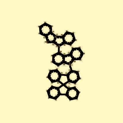 c1ccc2c(c1)-c1ccccc1C21c2ccccc2-c2c(-n3c4ccccc4c4c(-n5c6ccccc6n6c7ccccc7nc56)cccc43)cccc21